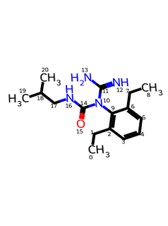 CCc1cccc(CC)c1N(C(=N)N)C(=O)NCC(C)C